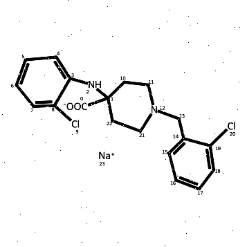 O=C([O-])C1(Nc2ccccc2Cl)CCN(Cc2ccccc2Cl)CC1.[Na+]